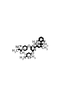 C=CC(=C)N1CC[C@H](Oc2cc(O[C@@H](C)CC[C@H](N)CC)nc(/C(=C/C(=C)C(C)(C)C3=C(F)C=C=C=C3P)OC)n2)C[C@H]1CC#N